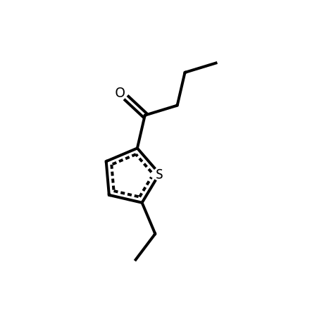 CCCC(=O)c1ccc(CC)s1